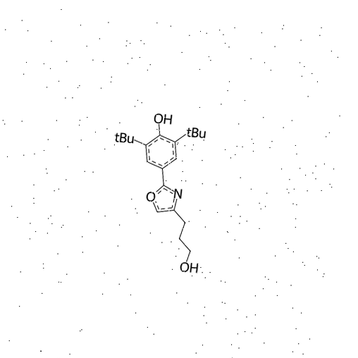 CC(C)(C)c1cc(-c2nc(CCCO)co2)cc(C(C)(C)C)c1O